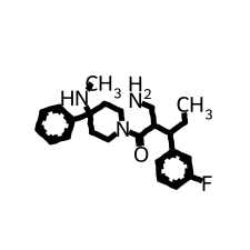 CCC(c1cccc(F)c1)C(CN)C(=O)N1CCC(NC)(c2ccccc2)CC1